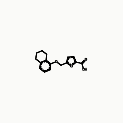 O=C(O)c1ccc(COc2cccc3c2CCCC3)o1